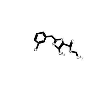 CCOC(=O)c1sc(Cc2cccc(Cl)c2)nc1C